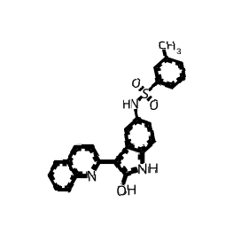 Cc1cccc(S(=O)(=O)Nc2ccc3[nH]c(O)c(-c4ccc5ccccc5n4)c3c2)c1